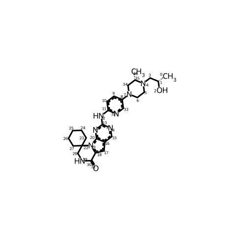 C[C@H](O)CN1CCN(c2ccc(Nc3ncc4cc5n(c4n3)C3(CCCCC3)CNC5=O)nc2)C[C@@H]1C